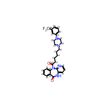 O=C1Nc2cccnc2N(C(=O)CCCCCN2CCN(c3cccc(C(F)(F)F)c3)CC2)c2ccccc21